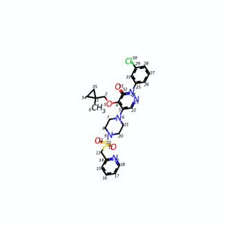 CC1(COc2c(N3CCN(S(=O)(=O)Cc4ccccn4)CC3)cnn(-c3cccc(Cl)c3)c2=O)CC1